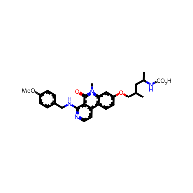 COc1ccc(CNc2nccc3c2c(=O)n(C)c2cc(OCC(C)CC(C)NC(=O)O)ccc32)cc1